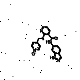 O=C(Nc1ccc2cn[nH]c2c1)c1cccnc1SCc1cc[n+]([O-])cc1